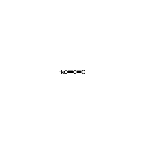 O=C=O.[He]